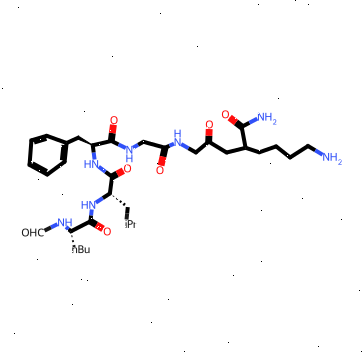 CCCC[C@H](NC=O)C(=O)N[C@@H](CC(C)C)C(=O)N[C@@H](Cc1ccccc1)C(=O)NCC(=O)NCC(=O)CC(CCCCN)C(N)=O